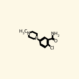 CN1CCN(c2ccc(Cl)c(C(N)=O)c2)CC1